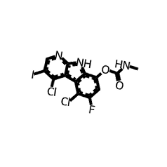 CNC(=O)Oc1cc(F)c(Cl)c2c1[nH]c1ncc(I)c(Cl)c12